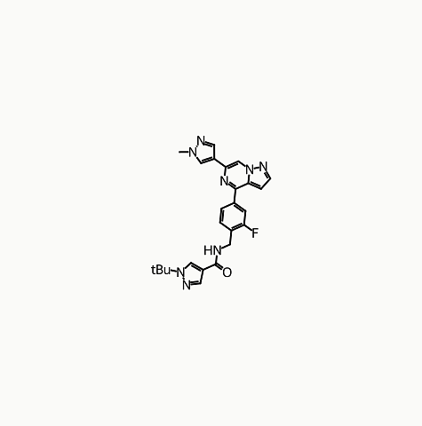 Cn1cc(-c2cn3nccc3c(-c3ccc(CNC(=O)c4cnn(C(C)(C)C)c4)c(F)c3)n2)cn1